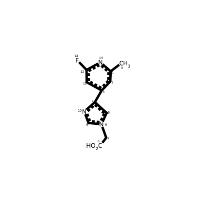 Cc1cc(-c2cn(CC(=O)O)cn2)cc(F)n1